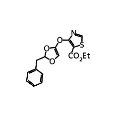 CCOC(=O)c1scnc1OC1=COC(Cc2ccccc2)O1